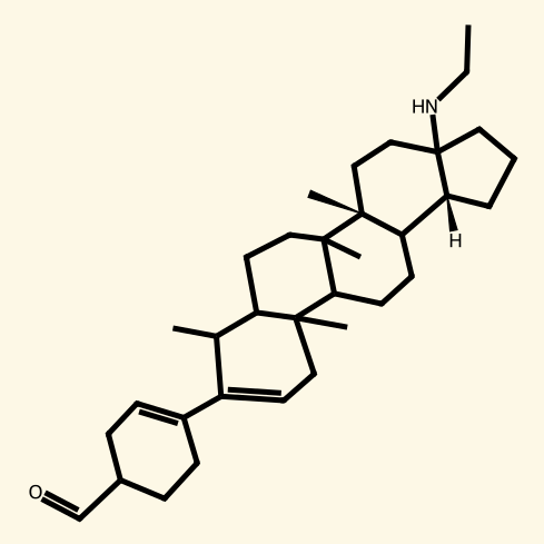 CCNC12CCC[C@@H]1C1CCC3C4(C)CC=C(C5=CCC(C=O)CC5)C(C)C4CCC3(C)[C@]1(C)CC2